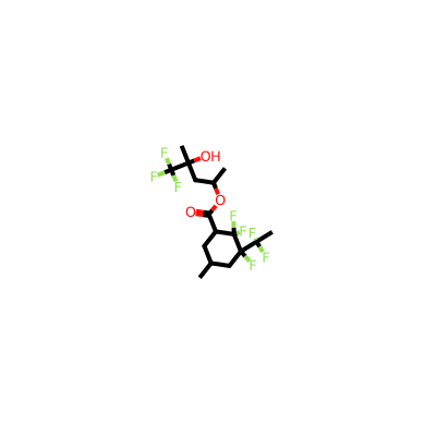 CC1CC(C(=O)OC(C)CC(C)(O)C(F)(F)F)C(F)(F)C(F)(C(C)(F)F)C1